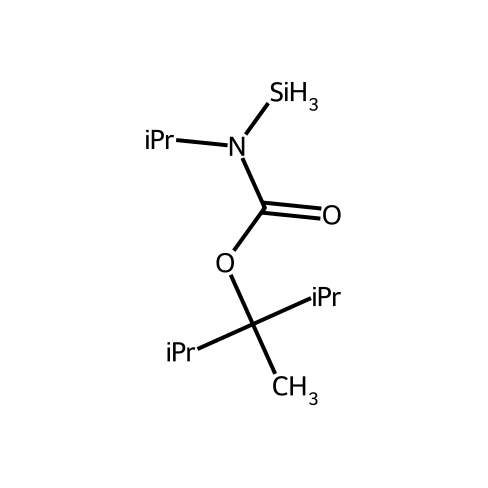 CC(C)N([SiH3])C(=O)OC(C)(C(C)C)C(C)C